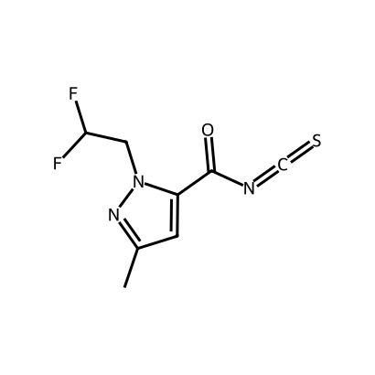 Cc1cc(C(=O)N=C=S)n(CC(F)F)n1